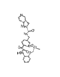 C[C@H](O)COc1ccccc1NS(=O)(=O)c1ccc(CNC(=O)c2cc3cnccc3[nH]2)cc1